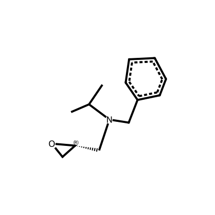 CC(C)N(Cc1ccccc1)C[C@@H]1CO1